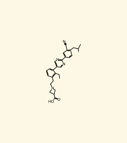 CCc1c(CCN2CC(C(=O)O)C2)cccc1-c1cnc(-c2ccc(CC(C)C)c(C#N)c2)nc1